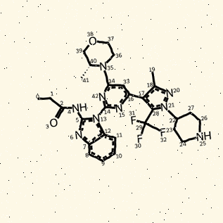 CCC(=O)Nc1nc2ccccc2n1-c1nc(-c2c(C)nn(C3CCNCC3)c2C(F)(F)F)cc(N2CCOC[C@H]2C)n1